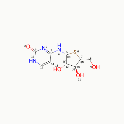 O=c1nc(N[C@@H]2S[C@H](CO)[C@@H](O)[C@@H]2O)cc[nH]1